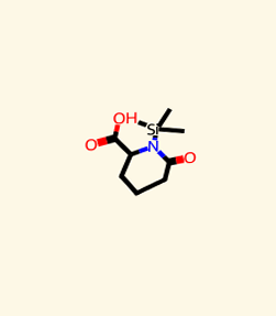 C[Si](C)(C)N1C(=O)CCCC1C(=O)O